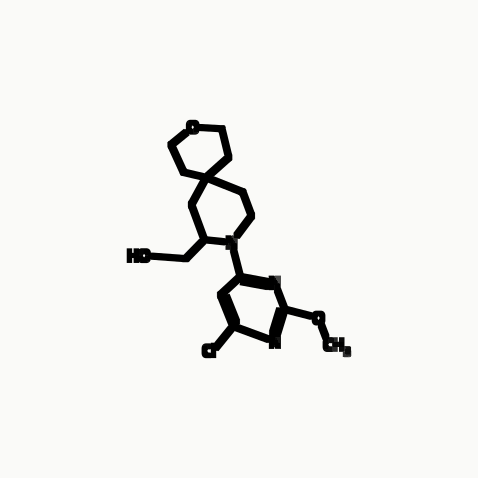 COc1nc(Cl)cc(N2CCC3(CCOCC3)CC2CO)n1